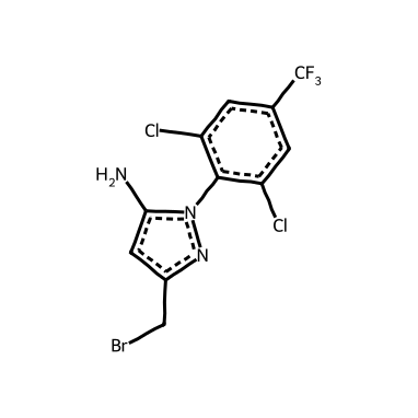 Nc1cc(CBr)nn1-c1c(Cl)cc(C(F)(F)F)cc1Cl